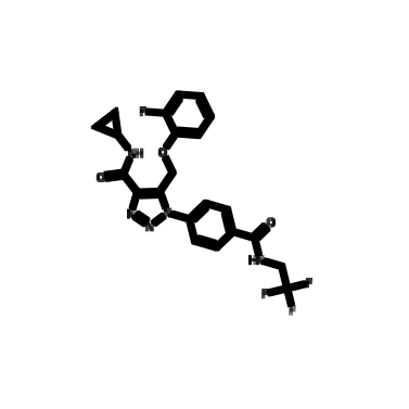 O=C(NCC(F)(F)F)c1ccc(-n2nnc(C(=O)NC3CC3)c2COc2ccccc2F)cc1